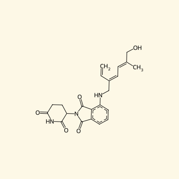 C=C/C(=C\C=C(/C)CO)CNc1cccc2c1C(=O)N(C1CCC(=O)NC1=O)C2=O